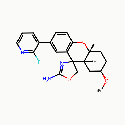 CC(C)O[C@@H]1CC[C@H]2Oc3ccc(-c4cccnc4F)cc3C3(COC(N)=N3)[C@H]2C1